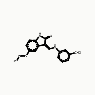 CC(C)NSc1ccc2c(c1)/C(=C/Nc1cccc(C=O)c1)C(=O)N2